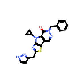 O=c1c2c(cnn1Cc1ccccc1)c1sc(Cc3cc[nH]n3)nc1n2C1CC1